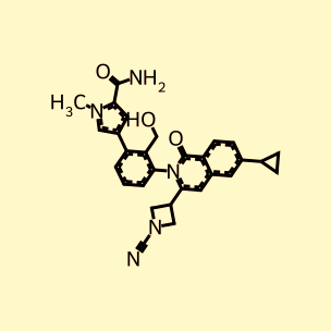 Cn1cc(-c2cccc(-n3c(C4CN(C#N)C4)cc4cc(C5CC5)ccc4c3=O)c2CO)cc1C(N)=O